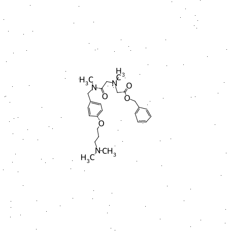 CN(C)CCCOc1ccc(CN(C)C(=O)CN(C)CC(=O)OCc2ccccc2)cc1